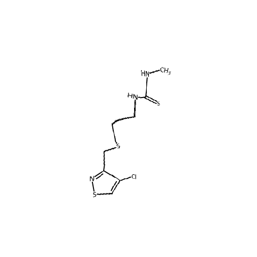 CNC(=S)NCCSCc1nscc1Cl